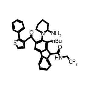 CCCCc1c2c(cc(C(=O)c3ccsc3-c3ccccc3)c1N1CCCCC1N)-c1ccccc1C2C(=O)NCC(F)(F)F